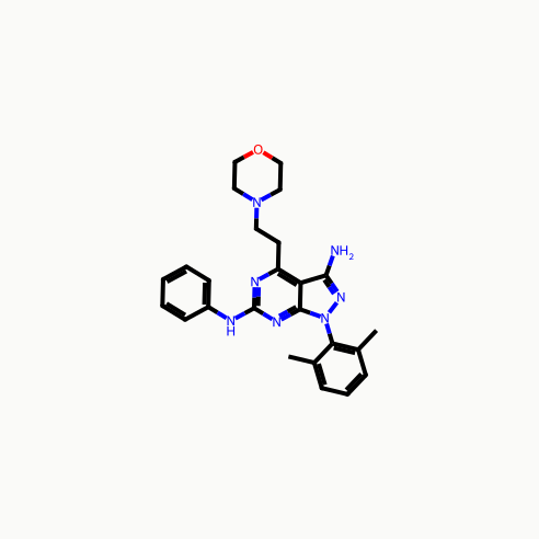 Cc1cccc(C)c1-n1nc(N)c2c(CCN3CCOCC3)nc(Nc3ccccc3)nc21